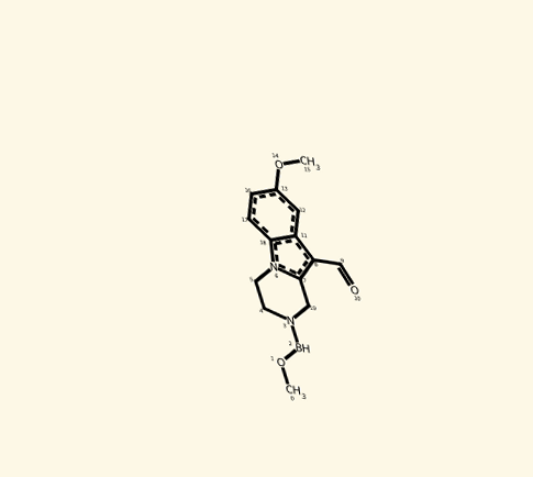 COBN1CCn2c(c(C=O)c3cc(OC)ccc32)C1